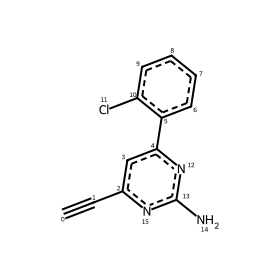 C#Cc1cc(-c2ccccc2Cl)nc(N)n1